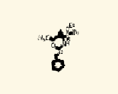 C=CC1CC1(NC(=O)OCc1ccccc1)P(=O)(OCC)C(C)CC